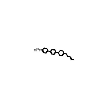 CC=CCCC1=CCC(c2ccc(-c3ccc(CCC)cc3)cc2)CC1